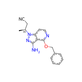 C[C@@H](CC#N)n1nc(N)c2c(OCc3ccccc3)nccc21